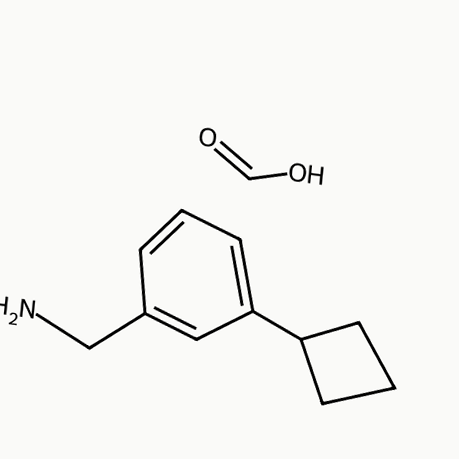 NCc1cccc(C2CCC2)c1.O=CO